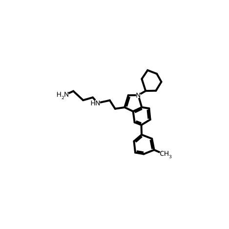 Cc1cccc(-c2ccc3c(c2)c(CCNCCCN)cn3C2CCCCC2)c1